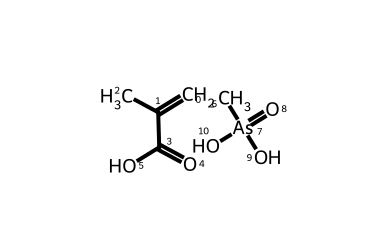 C=C(C)C(=O)O.C[As](=O)(O)O